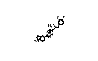 N[C@@H](CNc1nnc(-c2ccc3[nH]ncc3c2)s1)Cc1ccc(F)c(F)c1